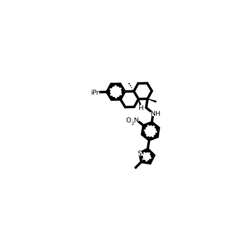 Cc1ccc(-c2ccc(NC[C@@]3(C)CCC[C@]4(C)c5ccc(C(C)C)cc5CC[C@@H]34)c([N+](=O)[O-])c2)s1